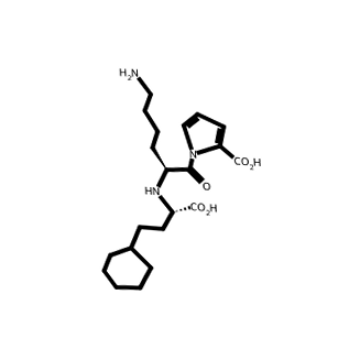 NCCCC[C@H](N[C@@H](CCC1CCCCC1)C(=O)O)C(=O)n1cccc1C(=O)O